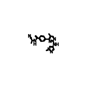 C=C(NC(C)C#N)c1ccc(-c2nc(Nc3cnn(C)c3)ncc2C)cc1